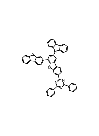 c1ccc(-c2nc(-c3ccccc3)nc(-c3ccc4c(c3)oc3c(-c5ccc6c(c5)sc5ccccc56)cc(-n5c6ccccc6c6ccccc65)cc34)n2)cc1